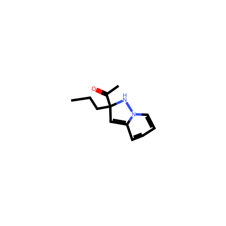 CCCC1(C(C)=O)C=C2C=CC=CN2N1